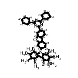 Bc1c(B)c(B)c2c(c1B)c1c(B)c(B)c(B)c(B)c1n2-c1ccc2c(c1)oc1cc(-c3nc(-c4ccccc4)nc(-c4ccccc4)n3)ccc12